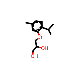 Cc1ccc(C(C)C)c(OCC(O)CO)c1